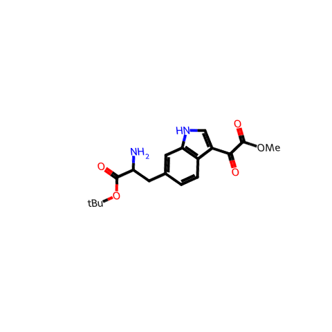 COC(=O)C(=O)c1c[nH]c2cc(CC(N)C(=O)OC(C)(C)C)ccc12